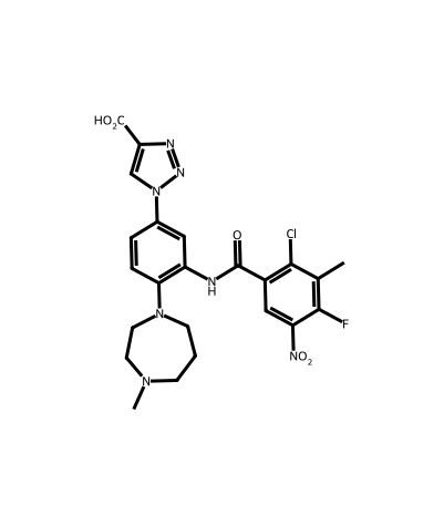 Cc1c(F)c([N+](=O)[O-])cc(C(=O)Nc2cc(-n3cc(C(=O)O)nn3)ccc2N2CCCN(C)CC2)c1Cl